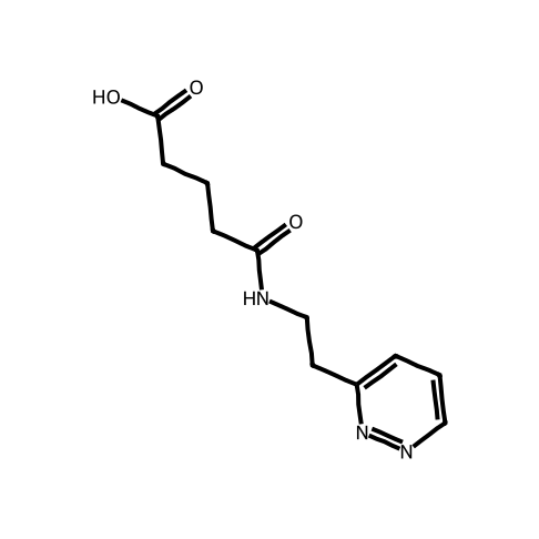 O=C(O)CCCC(=O)NCCc1cccnn1